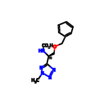 Cn1nnc([C@H](COCc2ccccc2)NC(=O)O)n1